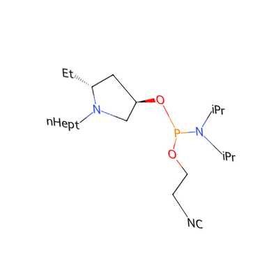 [C-]#[N+]CCOP(O[C@@H]1C[C@@H](CC)N(CCCCCCC)C1)N(C(C)C)C(C)C